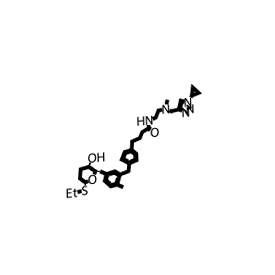 CCS[C@@H]1CC[C@@H](O)[C@H](Cc2ccc(C)c(Cc3ccc(CCCC(=O)NCCN(C)Cc4cn(C5CC5)nn4)cc3)c2)O1